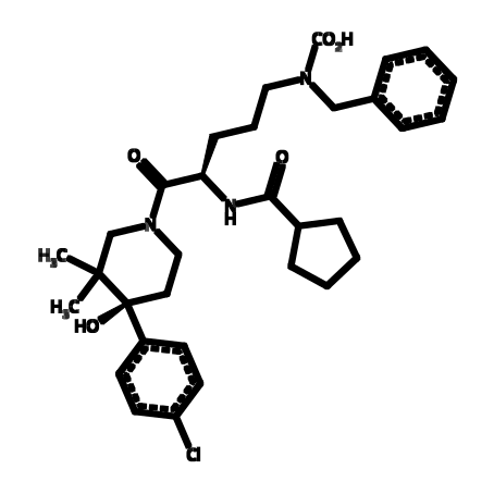 CC1(C)CN(C(=O)[C@@H](CCCN(Cc2ccccc2)C(=O)O)NC(=O)C2CCCC2)CC[C@]1(O)c1ccc(Cl)cc1